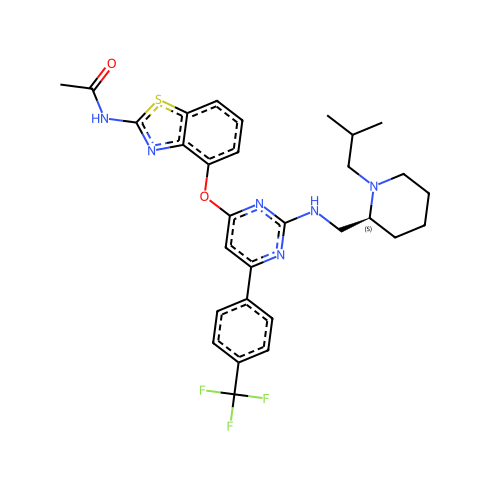 CC(=O)Nc1nc2c(Oc3cc(-c4ccc(C(F)(F)F)cc4)nc(NC[C@@H]4CCCCN4CC(C)C)n3)cccc2s1